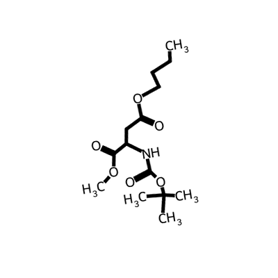 CCCCOC(=O)CC(NC(=O)OC(C)(C)C)C(=O)OC